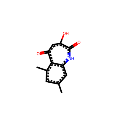 Cc1cc(C)c2c(=O)cc(O)c(=O)[nH]c2c1